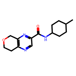 CC1CCC(NC(=O)c2cnc3c(n2)COCC3)CC1